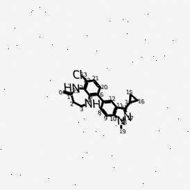 C=C1CCNc2c(-c3ccc4c(c3)c(C3CC3)nn4C)ccc(Cl)c2N1